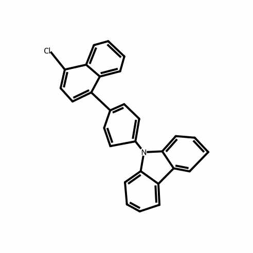 Clc1ccc(-c2ccc(-n3c4ccccc4c4ccccc43)cc2)c2ccccc12